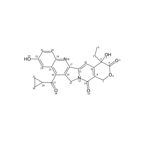 CCC1(O)C(=O)OCc2c1cc1n(c2=O)Cc2c-1nc1ccc(O)cc1c2C(=O)C1CC1